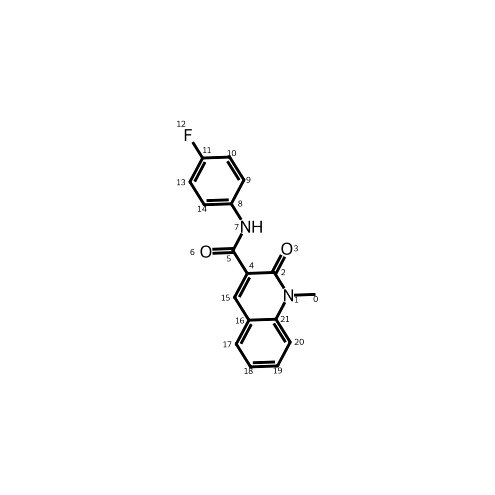 Cn1c(=O)c(C(=O)Nc2ccc(F)cc2)cc2ccccc21